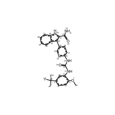 COc1ccc(C(F)(F)F)cc1NC(=O)Nc1ccc(-c2c(C(N)=O)[nH]c3ccccc23)cn1